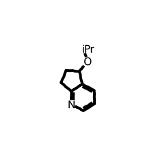 CC(C)OC1CCc2ncccc21